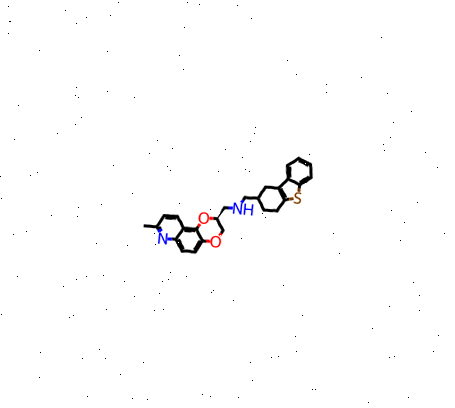 Cc1ccc2c3c(ccc2n1)OC[C@H](CNCC1CCc2sc4ccccc4c2C1)O3